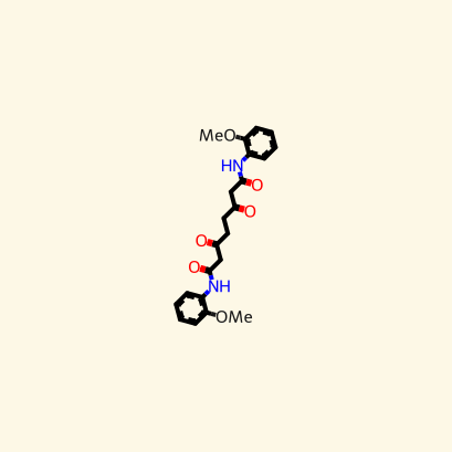 COc1ccccc1NC(=O)CC(=O)CCC(=O)CC(=O)Nc1ccccc1OC